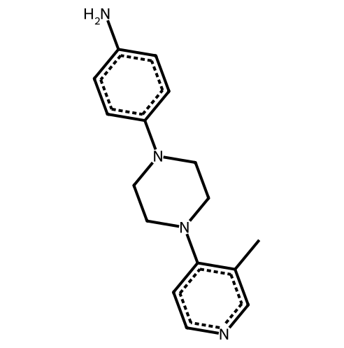 Cc1cnccc1N1CCN(c2ccc(N)cc2)CC1